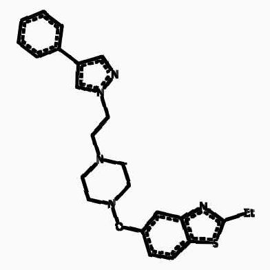 CCc1nc2cc(ON3C[CH]N(CCn4cc(-c5ccccc5)cn4)CC3)ccc2s1